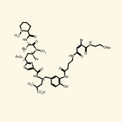 CC[C@H](C)[C@H](NC(=O)C1CCCCN1C)C(=O)N(C)[C@H](C[C@@H](OC(C)=O)c1nc(C(=O)N[C@@H](Cc2ccc(O)c(NC(=O)CCCNC(=O)/C=C(/Br)C(=O)NCCOC)c2)CC(C)C(=O)O)cs1)C(C)C